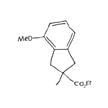 CCOC(=O)C1(C)Cc2cccc(OC)c2C1